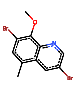 COc1c(Br)cc(C)c2cc(Br)cnc12